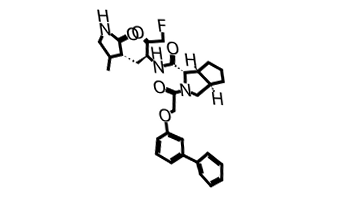 CC1CNC(=O)[C@@H]1C[C@H](NC(=O)[C@@H]1[C@H]2CCC[C@H]2CN1C(=O)COc1cccc(-c2ccccc2)c1)C(=O)CF